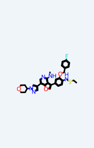 CCSNc1ccc(-c2coc3c(-c4cnn(C5CCOCC5)c4)cnc(NC)c23)cc1OCc1ccc(F)cc1